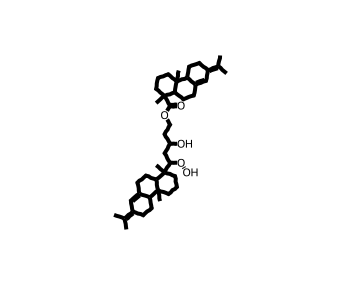 CC(C)=C1C=C2CCC3C(C)(C(=O)OCCC(O)CC(OO)C4(C)CCCC5(C)C6CCC(=C(C)C)C=C6CCC45)CCCC3(C)C2CC1